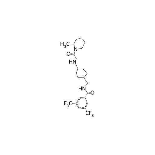 CC1CCCCN1C(=O)CNC1CCC(CNC(=O)c2cc(C(F)(F)F)cc(C(F)(F)F)c2)CC1